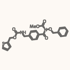 COC(=O)N(OCc1ccccc1)C(=O)c1ccc(CNC(=O)OCc2cccs2)cc1